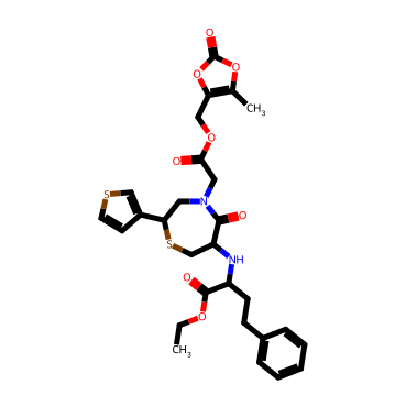 CCOC(=O)C(CCc1ccccc1)NC1CSC(c2ccsc2)CN(CC(=O)OCc2oc(=O)oc2C)C1=O